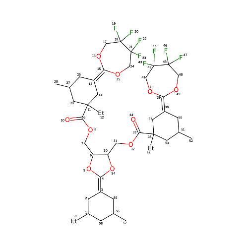 CCC1CC(=C2OC(COC(=O)C3(CC)CC(=C4OCC(F)(F)C(F)(F)CO4)CC(C)C3)C(COC(=O)C3(CC)CC(=C4OCC(F)(F)C(F)(F)CO4)CC(C)C3)O2)CC(C)C1